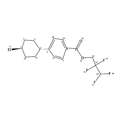 CC[C@H]1CC[C@H](c2ccc(C(=O)OCC(F)(F)C(F)F)cc2)CC1